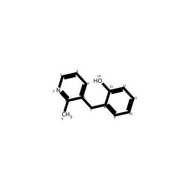 Cc1ncccc1Cc1ccccc1O